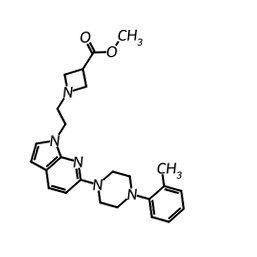 COC(=O)C1CN(CCn2ccc3ccc(N4CCN(c5ccccc5C)CC4)nc32)C1